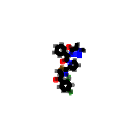 CNC(C)C(=O)NC(C(=O)N1CCC[C@H]1c1nc(C(=O)c2ccc(F)cc2F)cs1)C1CCCCC1